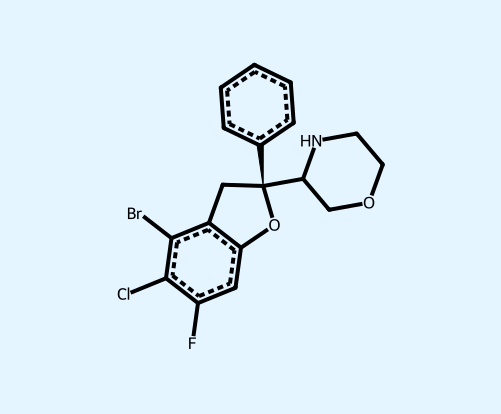 Fc1cc2c(c(Br)c1Cl)C[C@](c1ccccc1)(C1COCCN1)O2